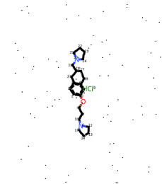 Cl.c1cc2c(cc1OCCCN1CCCC1)CCC(CN1CCCC1)C2